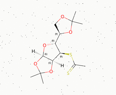 CC(=S)S[C@H]1[C@H]2OC(C)(C)O[C@H]2O[C@@H]1[C@H]1COC(C)(C)O1